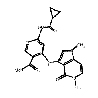 CNC(=O)c1cnc(NC(=O)C2CC2)cc1Nc1cn(C)c2ccn(C)c(=O)c12